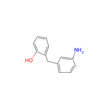 Nc1[c]ccc(Cc2ccccc2O)c1